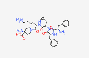 NCCCCC(NC(=O)C(CC1CC1)NC(=O)C(Cc1ccccc1)NC(=O)C(N)Cc1ccccc1)C(=O)N1CCC(N)(C(=O)O)CC1